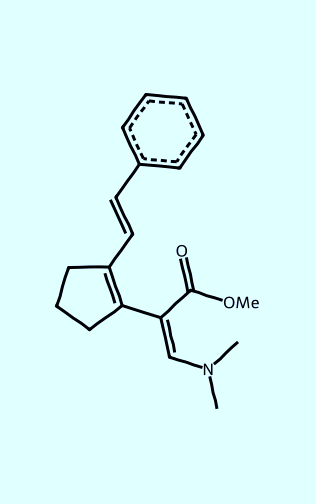 COC(=O)C(=CN(C)C)C1=C(C=Cc2ccccc2)CCC1